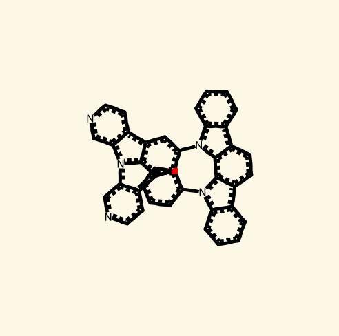 c1ccc(-n2c3ccccc3c3ccc4c5ccccc5n(-c5cc6c7ccncc7n7c8cnccc8c(c5)c67)c4c32)cc1